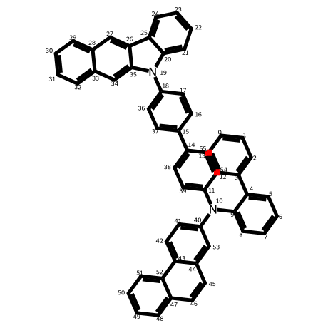 c1ccc(-c2ccccc2N(c2ccc(-c3ccc(-n4c5ccccc5c5cc6ccccc6cc54)cc3)cc2)c2ccc3c(ccc4ccccc43)c2)cc1